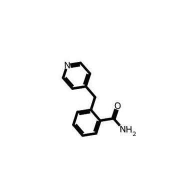 NC(=O)c1ccccc1Cc1ccncc1